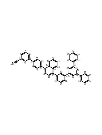 N#Cc1cccc(-c2ccc(-c3ccc(-c4cccc(-c5cc(-c6ccccc6)nc(-c6ccccc6)c5)c4)c4ccccc34)cc2)c1